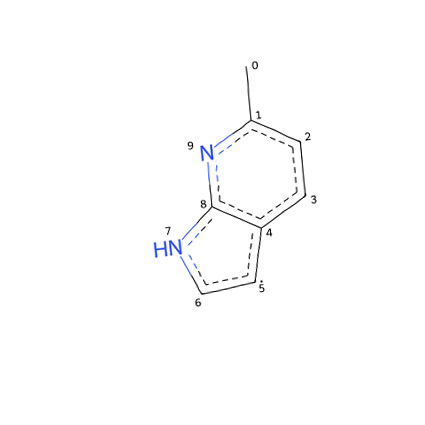 Cc1ccc2[c]c[nH]c2n1